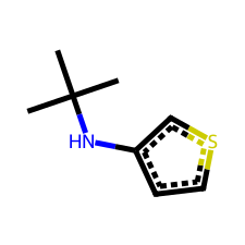 CC(C)(C)Nc1ccsc1